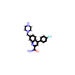 NC(=O)c1cc(-c2ccc(F)cc2)c2ccc(CN3CCNCC3)cc2n1